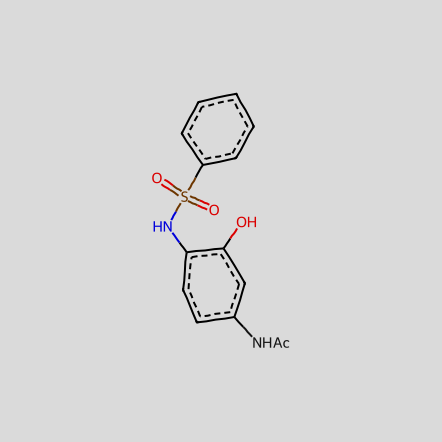 CC(=O)Nc1ccc(NS(=O)(=O)c2ccccc2)c(O)c1